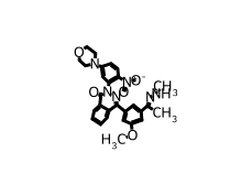 CNN=C(C)c1cc(OC)cc(-c2nn(-c3cc(N4CCOCC4)ccc3[N+](=O)[O-])c(=O)c3ccccc23)c1